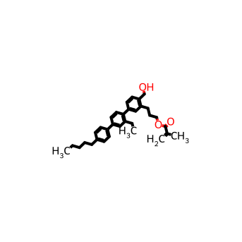 C=C(C)C(=O)OCCCc1cc(-c2ccc(-c3ccc(CCCCC)cc3)cc2CC)ccc1CO